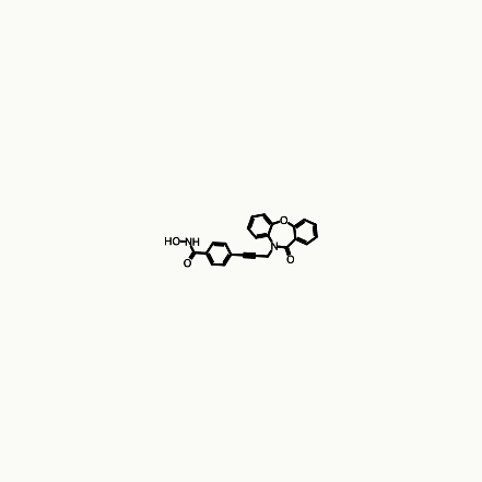 O=C(NO)c1ccc(C#CCN2C(=O)c3ccccc3Oc3ccccc32)cc1